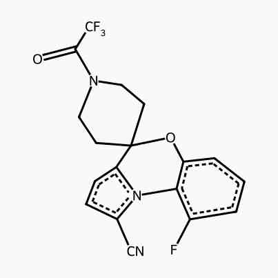 N#Cc1ccc2n1-c1c(F)cccc1OC21CCN(C(=O)C(F)(F)F)CC1